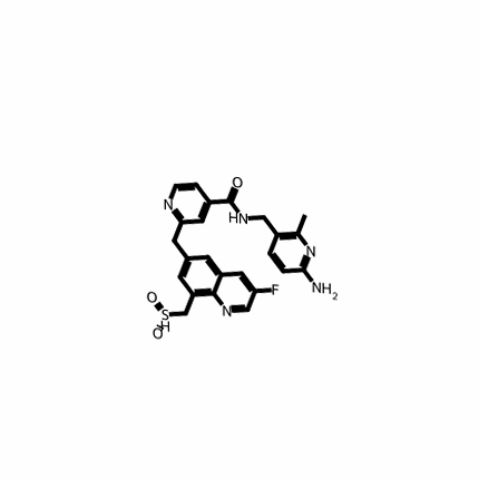 Cc1nc(N)ccc1CNC(=O)c1ccnc(Cc2cc(C[SH](=O)=O)c3ncc(F)cc3c2)c1